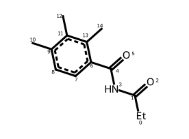 CCC(=O)NC(=O)c1ccc(C)c(C)c1C